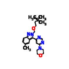 Cc1ccc2nn(COCC[Si](C)(C)C)c(-c3cc(N4CCOCC4)ncn3)c2c1